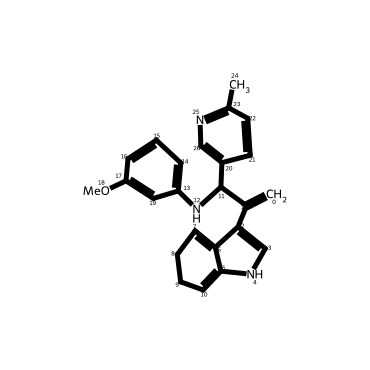 C=C(c1c[nH]c2c1=CCCC=2)C(Nc1cccc(OC)c1)c1ccc(C)nc1